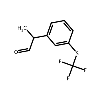 CC(C=O)c1cccc(SC(F)(F)F)c1